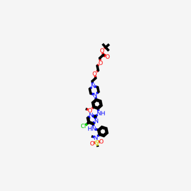 COc1cc(N2CCN(CCOCCOCC(=O)OC(C)(C)C)CC2)ccc1Nc1ncc(Cl)c(Nc2ccccc2N(C)S(C)(=O)=O)n1